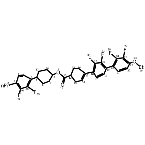 CCCc1ccc(C2CCC(OC(=O)C3CC=C(c4ccc(-c5ccc(OCC)c(F)c5F)c(F)c4F)CC3)CC2)c(F)c1F